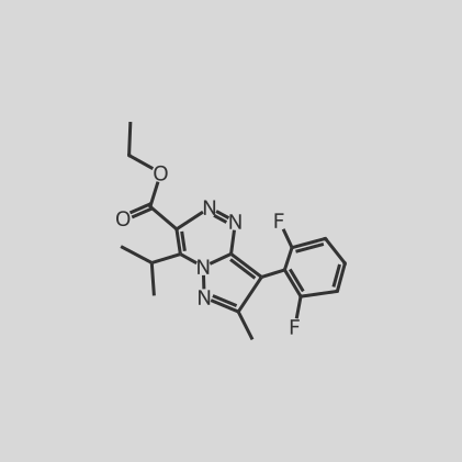 CCOC(=O)c1nnc2c(-c3c(F)cccc3F)c(C)nn2c1C(C)C